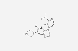 O=c1c(C2CCNCC2)cc2nccnc2n1Cc1nccnc1C(F)F